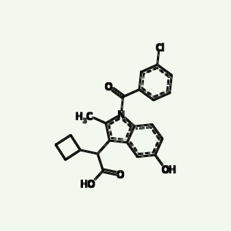 Cc1c(C(C(=O)O)C2CCC2)c2cc(O)ccc2n1C(=O)c1cccc(Cl)c1